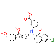 COC(=O)c1ccc2c(c1)N(C[C@@H]1CC[C@H]1[C@H](OC)[C@H]1CCC[C@H](O)C1)CC1(CCCc3cc(Cl)ccc31)CO2